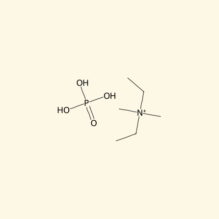 CC[N+](C)(C)CC.O=P(O)(O)O